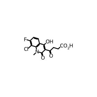 Cn1c(=O)c(C(=O)CCC(=O)O)c(O)c2ccc(F)c(Cl)c21